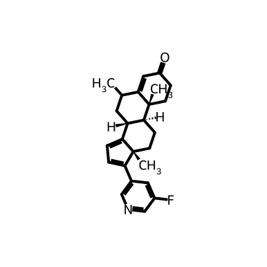 CC1C[C@H]2C3=CC=C(c4cncc(F)c4)[C@@]3(C)CC[C@@H]2[C@@]2(C)CCC(=O)C=C12